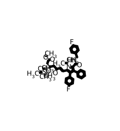 COC(=O)C[C@@H](CC(=O)/C=C/c1c(-c2ccc(F)cc2)c(-c2ccccc2)c(C(=O)NCc2ccc(F)cc2)n1C(C)C)O[Si](C)(C)C(C)(C)C